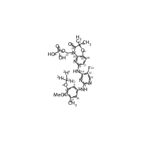 [2H]C([2H])([2H])Oc1cc(Nc2ncc(F)c(Nc3ccc4c(n3)N(COP(=O)(O)O)C(=O)C(C)(C)O4)n2)cc(C)c1OC